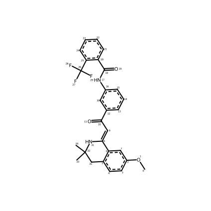 COc1ccc2c(c1)C(=CC(=O)c1cccc(NC(=O)c3ccccc3C(F)(F)F)c1)NC(C)(C)C2